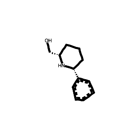 OC[C@@H]1CCC[C@H](c2ccccc2)N1